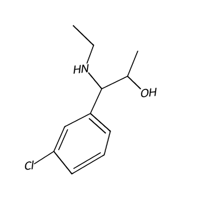 CCNC(c1cccc(Cl)c1)C(C)O